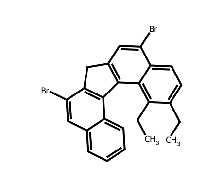 CCc1ccc2c(Br)cc3c(c2c1CC)-c1c(c(Br)cc2ccccc12)C3